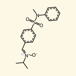 CC(C)/[N+]([O-])=C/c1ccc(S(=O)(=O)N(C)c2ccccc2)cc1